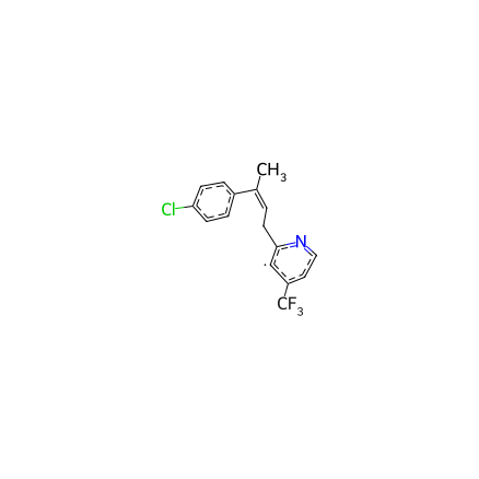 CC(=CCc1[c]c(C(F)(F)F)ccn1)c1ccc(Cl)cc1